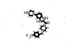 O=C(C1Nc2ccc(N3CCNCC3)cc2N1)N1CCN(Cc2ccc(C(F)(F)F)cc2)CC1